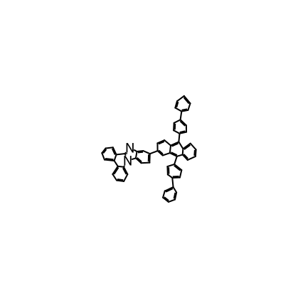 c1ccc(-c2ccc(-c3c4ccccc4c(-c4ccc(-c5ccccc5)cc4)c4cc(-c5ccc6c(c5)nc5c7ccccc7c7ccccc7n65)ccc34)cc2)cc1